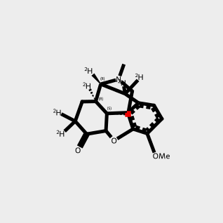 [2H]C1([2H])C[C@]2([2H])[C@@]34CCN(C)[C@]2([2H])C([2H])([2H])c2ccc(OC)c(c23)OC4C1=O